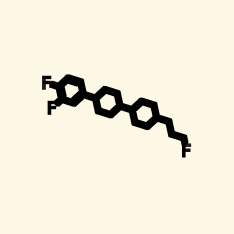 FCCCC1CCC(C2CCC(c3ccc(F)c(F)c3)CC2)CC1